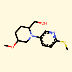 COC1CCC(CO)N(c2ccc(SC)nc2)C1